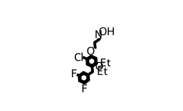 CCOCC.ON=CCCOc1ccc(Cc2cc(F)cc(F)c2)cc1Cl